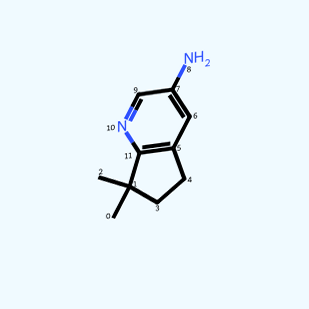 CC1(C)CCc2cc(N)cnc21